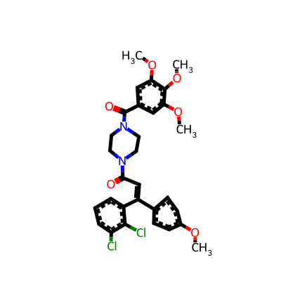 COc1ccc(C(=CC(=O)N2CCN(C(=O)c3cc(OC)c(OC)c(OC)c3)CC2)c2cccc(Cl)c2Cl)cc1